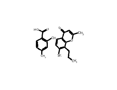 CCCc1c(S)ccc2c(=O)cc(C)oc12.Cc1ccc(C(=O)O)c(C)c1